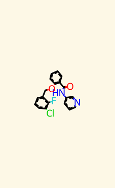 O=C(Nc1cccnc1)c1ccccc1OCc1cccc(Cl)c1F